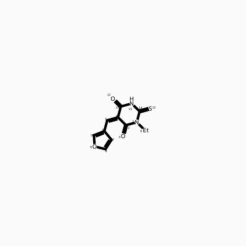 CCN1C(=O)/C(=C\c2ccoc2)C(=O)NC1=S